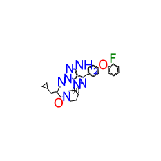 N#CC(=CC1CC1)C(=O)N1CCC[C@@H](n2nc(-c3ccc(Oc4ccccc4F)cc3)c3c(N)ncnc32)C1